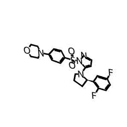 O=S(=O)(c1ccc(N2CCOCC2)cc1)n1nccc1N1CCC[C@@H]1c1cc(F)ccc1F